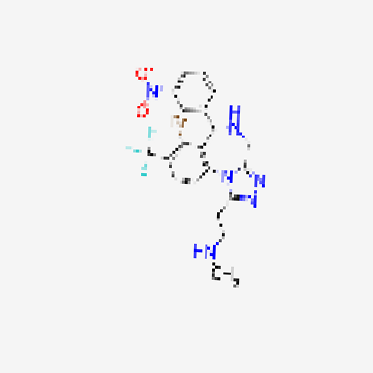 CNCCc1nnc2n1-c1ccc(C(F)(F)F)c(Br)c1C(c1cccc([N+](=O)[O-])c1)NC2